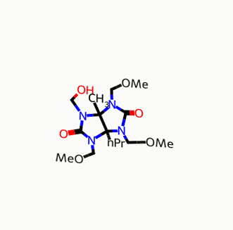 CCCC12N(COC)C(=O)N(CO)C1(C)N(COC)C(=O)N2COC